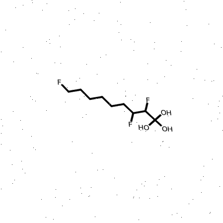 OC(O)(O)C(F)C(F)CCCCCCF